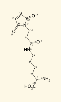 NC(CCCCNC(=O)CCN1C(=O)C=CC1=O)C(=O)O